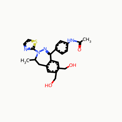 CC(=O)Nc1ccc(C2=NN(c3nccs3)C(C)Cc3cc(CO)c(CO)cc32)cc1